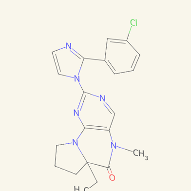 CCC12CCCN1c1nc(-n3ccnc3-c3cccc(Cl)c3)ncc1N(C)C2=O